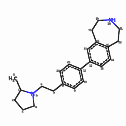 CC1CCCN1CCc1ccc(-c2ccc3c(c2)CCNCC3)cc1